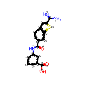 N=C(N)c1cc2ccc(C(=O)Nc3cccc(C(=O)O)c3)cc2s1